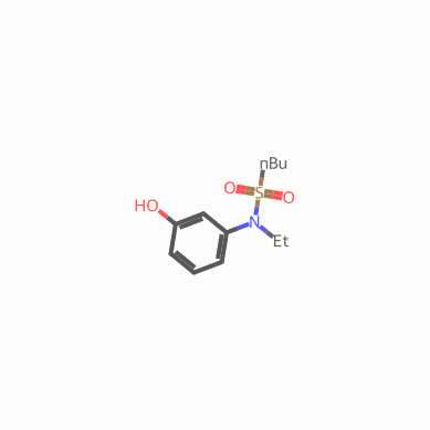 CCCCS(=O)(=O)N(CC)c1cccc(O)c1